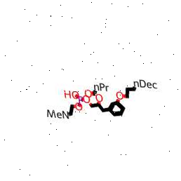 CCCCCCCCCCCCCOc1cccc(CC(COP(O)OCCNC)OC(=O)CCC)c1